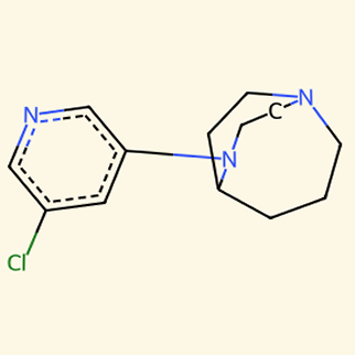 Clc1cncc(N2CCN3CCCC2CC3)c1